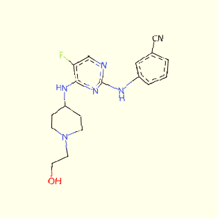 N#Cc1cccc(Nc2ncc(F)c(NC3CCN(CCO)CC3)n2)c1